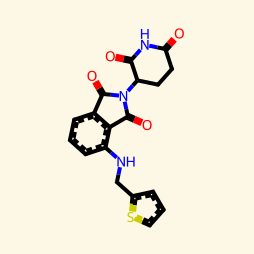 O=C1CCC(N2C(=O)c3cccc(NCc4cccs4)c3C2=O)C(=O)N1